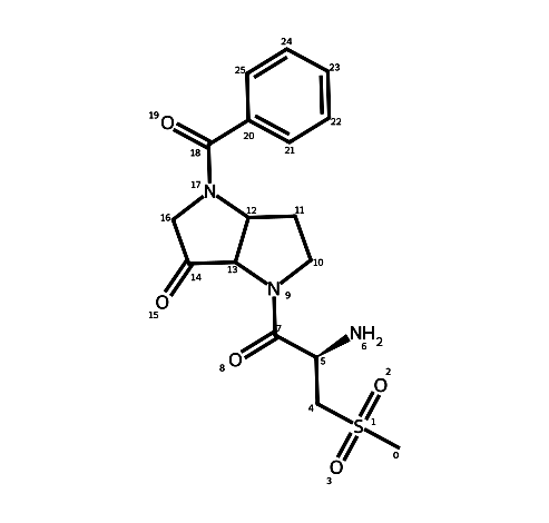 CS(=O)(=O)C[C@H](N)C(=O)N1CCC2C1C(=O)CN2C(=O)c1ccccc1